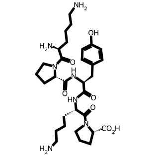 NCCCC[C@H](NC(=O)[C@H](Cc1ccc(O)cc1)NC(=O)[C@@H]1CCCN1C(=O)[C@@H](N)CCCCN)C(=O)N1CCC[C@H]1C(=O)O